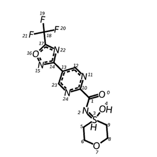 O=C(N=[SH]1(O)CCOCC1)c1ncc(-c2noc(C(F)(F)F)n2)cn1